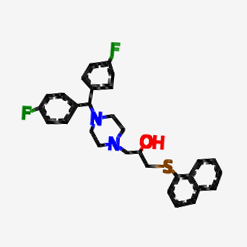 OC(CSc1cccc2ccccc12)CN1CCN(C(c2ccc(F)cc2)c2ccc(F)cc2)CC1